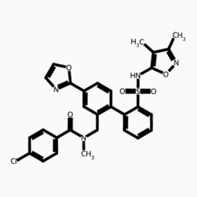 Cc1noc(NS(=O)(=O)c2ccccc2-c2ccc(-c3ncco3)cc2CN(C)C(=O)c2ccc(Cl)cc2)c1C